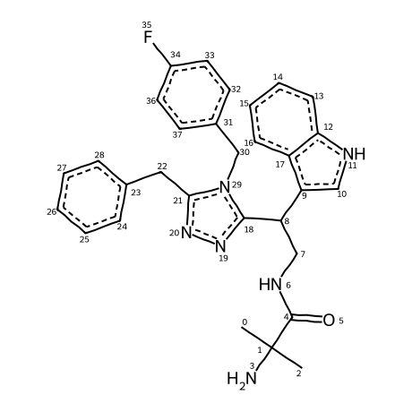 CC(C)(N)C(=O)NCC(c1c[nH]c2ccccc12)c1nnc(Cc2ccccc2)n1Cc1ccc(F)cc1